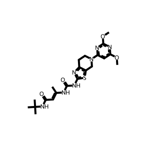 COc1cc(N2CCc3nc(NC(=O)N/C(C)=C/C(=O)NC(C)(C)C)sc3C2)nc(OC)n1